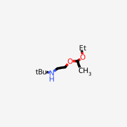 CCOC(C)OCCNC(C)(C)C